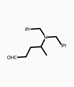 CC(C)CN(CC(C)C)C(C)CCC=O